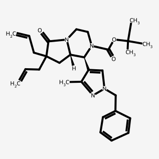 C=CCC1(CC=C)C[C@H]2[C@H](c3cn(Cc4ccccc4)nc3C)N(C(=O)OC(C)(C)C)CCN2C1=O